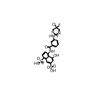 O=C(Nc1ccc(S(=O)(=O)O)c2cc(S(=O)(=O)O)cc(O)c12)c1cccc(NC2(F)N=CC(F)(Cl)C=N2)c1